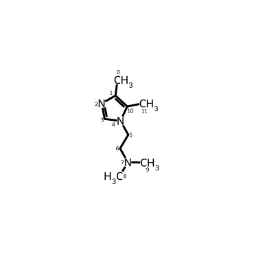 Cc1ncn(CCN(C)C)c1C